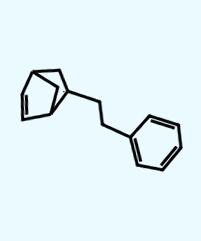 C1=CC2CC1C[C]2CCc1ccccc1